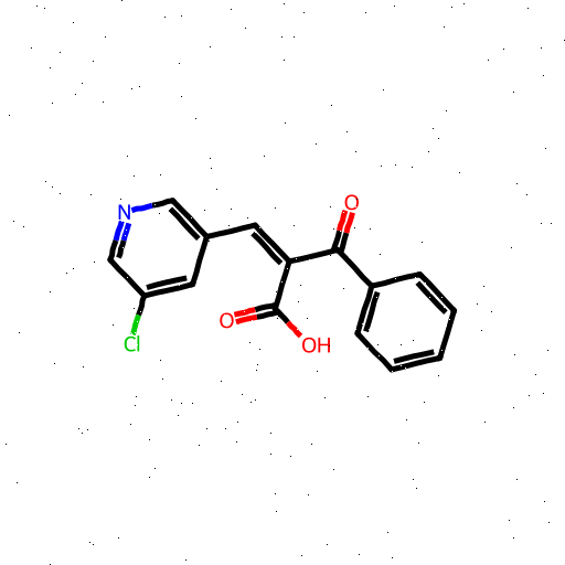 O=C(O)C(=Cc1cncc(Cl)c1)C(=O)c1ccccc1